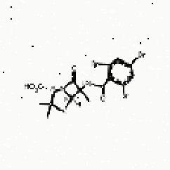 CC1(C)S[C@H]2N(C(=O)C2(C)NC(=O)c2c(Br)cc(Br)cc2Br)[C@H]1C(=O)O